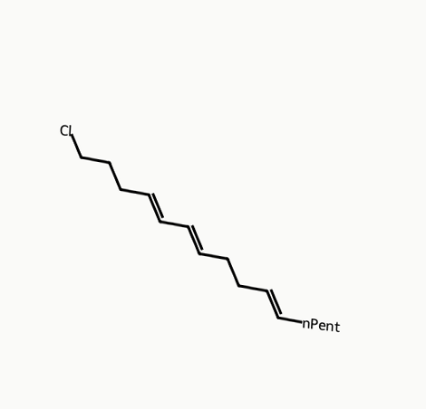 CCCCCC=CCCC=CC=CCCCCl